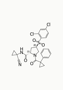 N#CC1(NC(=O)[C@@H]2C[C@@H](S(=O)(=O)c3ccc(Cl)cc3Cl)CN2C(=O)C2(c3ccccc3)CC2)CC1